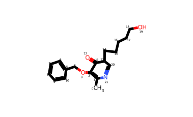 CC1=C(OCc2ccccc2)C(=O)C(CCCCCO)C=N1